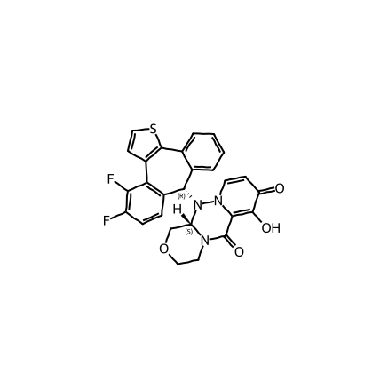 O=C1c2c(O)c(=O)ccn2N([C@H]2c3ccccc3-c3sccc3-c3c2ccc(F)c3F)[C@H]2COCCN12